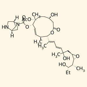 CC[C@H](O)[C@@H](C)[C@H]1O[C@@H]1CC(C)(O)/C=C/C=C(\C)[C@H]1OC(=O)C[C@H](O)CC[C@@](C)(OC(C)=O)[C@@H](OC(=O)N2C[C@H]3C[C@@H]2CN3)/C=C/[C@@H]1C